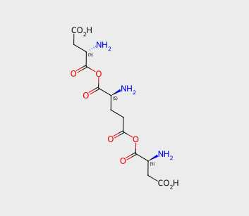 N[C@@H](CC(=O)O)C(=O)OC(=O)CC[C@H](N)C(=O)OC(=O)[C@@H](N)CC(=O)O